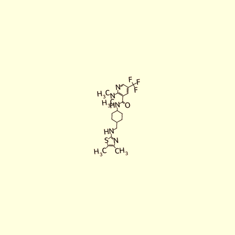 Cc1nc(NCC2CCC(NC(=O)c3cc(C(F)(F)F)cnc3N(C)C)CC2)sc1C